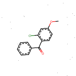 COc1ccc(C(=O)c2ccccc2)c(Cl)c1